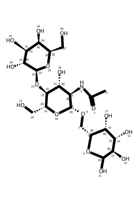 CC(=O)N[C@H]1[C@H](OC[C@H]2OC(O)[C@H](O)[C@@H](O)[C@H]2O)O[C@H](CO)[C@@H](O[C@@H]2O[C@H](CO)[C@H](O)[C@H](O)[C@H]2O)[C@@H]1O